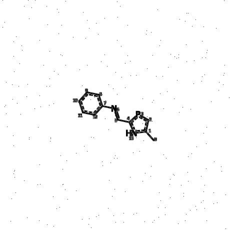 Cc1cpc(/C=N/c2ccccc2)[nH]1